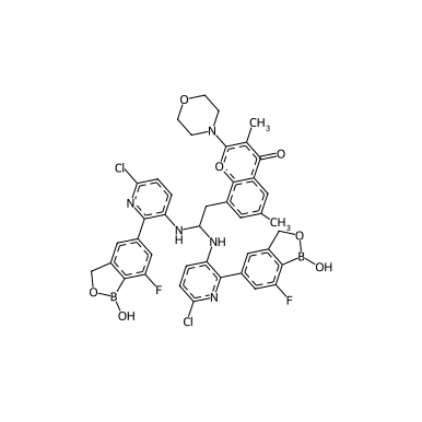 Cc1cc(CC(Nc2ccc(Cl)nc2-c2cc(F)c3c(c2)COB3O)Nc2ccc(Cl)nc2-c2cc(F)c3c(c2)COB3O)c2oc(N3CCOCC3)c(C)c(=O)c2c1